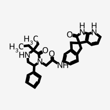 CCC1(CC)NCC(c2ccccc2)N(CC(=O)Nc2ccc3c(c2)CC2(C3)C(=O)NC3=C2C=CCN3)C1=O